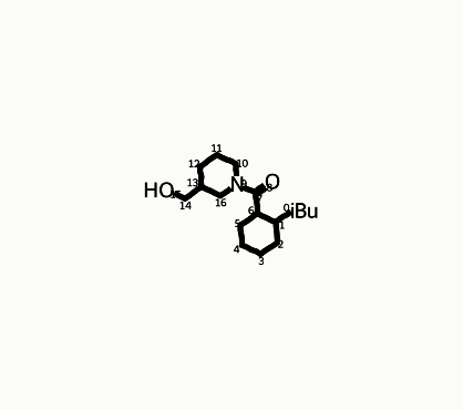 CCC(C)C1CCCCC1C(=O)N1CCCC(CO)C1